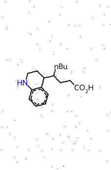 CCCCC(CCC(=O)O)C1CCNc2ccccc21